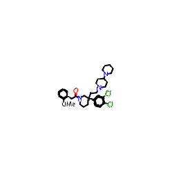 COc1ccccc1CC(=O)N1CCCC(CCN2CCC(N3CCCCC3)CC2)(c2ccc(Cl)c(Cl)c2)C1